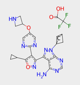 Nc1ncnc2c1c(-c1noc(C3CC3)c1-c1ncc(OC3CNC3)cn1)nn2C12CC(C1)C2.O=C(O)C(F)(F)F